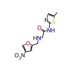 Cc1cnc(NC(=O)CNCc2cc([N+](=O)[O-])co2)s1